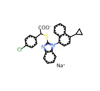 O=C([O-])C(Sc1nc2ccccc2n1-c1ccc(C2CC2)c2ccccc12)c1ccc(Cl)cc1.[Na+]